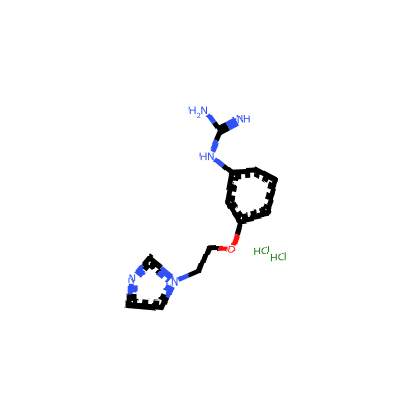 Cl.Cl.N=C(N)Nc1cccc(OCCn2ccnc2)c1